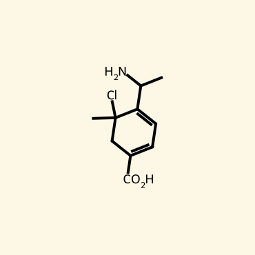 CC(N)C1=CC=C(C(=O)O)CC1(C)Cl